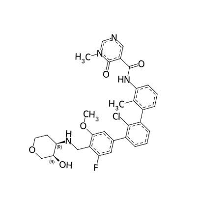 COc1cc(-c2cccc(-c3cccc(NC(=O)c4cncn(C)c4=O)c3C)c2Cl)cc(F)c1CN[C@@H]1CCOC[C@@H]1O